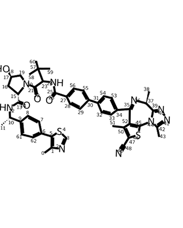 Cc1ncsc1-c1ccc([C@H](C)NC(=O)[C@@H]2C[C@@H](O)CN2C(=O)C(NC(=O)c2ccc(-c3ccc(C4=N[C@@H](C)c5nnc(C)n5-c5sc(C#N)c(C)c54)cc3)cc2)C(C)(C)C)cc1